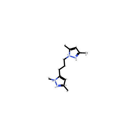 CCc1cc(C)n(CCCc2cc(C)nn2C)n1